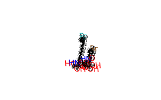 C[C@@H](O)[C@@H](O)[C@H](COC1OC2C(O)[C@@H](O)C(CNC(=O)Cc3ccc(Br)cc3)O[C@H]12)NC(=O)CCCCCCCCCCc1ccc(F)c(F)c1